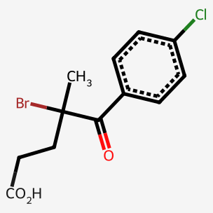 CC(Br)(CCC(=O)O)C(=O)c1ccc(Cl)cc1